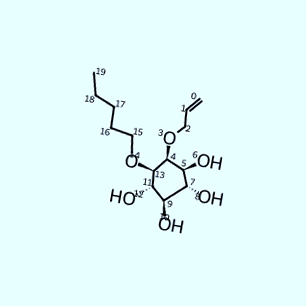 C=CCO[C@H]1[C@@H](O)[C@H](O)[C@@H](O)[C@H](O)[C@H]1OCCCCC